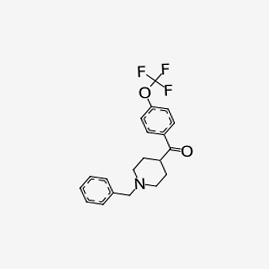 O=C(c1ccc(OC(F)(F)F)cc1)C1CCN(Cc2ccccc2)CC1